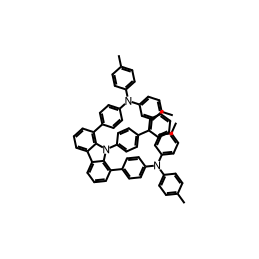 Cc1ccc(N(c2ccc(C)cc2)c2ccc(-c3cccc4c5cccc(-c6ccc(N(c7ccc(C)cc7)c7ccc(C)cc7)cc6)c5n(-c5ccc(-c6ccccc6)cc5)c34)cc2)cc1